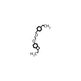 C=Cc1ccc(COCCOc2ccc3c(c2)CC3CC)cc1